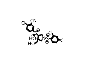 N#Cc1cc(S(=O)(=O)C2CN(S(=O)(=O)c3ccc(Cl)cc3Cl)C[C@@]2(O)CO)ccc1Cl